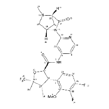 COc1c([C@H]2[C@H](C(=O)Nc3ccnc(N4C(=O)[C@@H]5C[C@H]4CN5C)c3)O[C@@](C)(C(F)(F)F)[C@H]2C)ccc(F)c1F